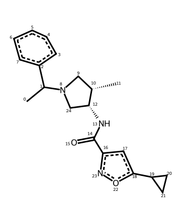 CC(c1ccccc1)N1C[C@H](C)[C@H](NC(=O)c2cc(C3CC3)on2)C1